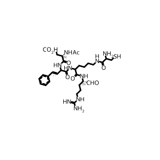 CC(=O)N[C@@H](CC(=O)O)C(=O)NC(/C=C/c1ccccc1)C(=O)NC(CCCCNC(=O)C(N)CS)C(=O)N[C@H](C=O)CCCNC(=N)N